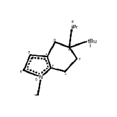 CC(C)C1(C(C)(C)C)CCc2c(ccn2C)C1